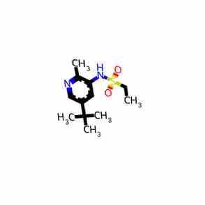 CCS(=O)(=O)Nc1cc(C(C)(C)C)cnc1C